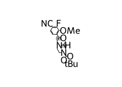 COc1c([C@@H]2CN3CCN(C(=O)OC(C)(C)C)C[C@H]3CO2)ccc(C#N)c1F